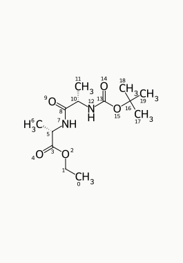 CCOC(=O)[C@H](C)NC(=O)[C@H](C)NC(=O)OC(C)(C)C